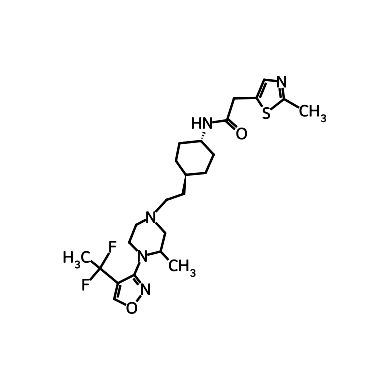 Cc1ncc(CC(=O)N[C@H]2CC[C@H](CCN3CCN(c4nocc4C(C)(F)F)C(C)C3)CC2)s1